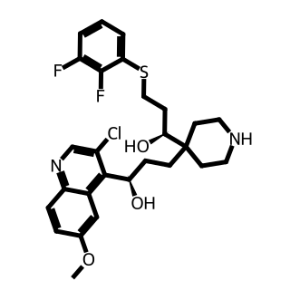 COc1ccc2ncc(Cl)c([C@H](O)CCC3([C@@H](O)CCSc4cccc(F)c4F)CCNCC3)c2c1